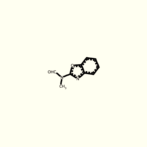 CN(C=O)c1nc2ccccc2o1